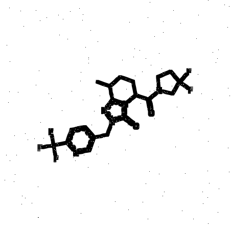 CC1CCC(C(=O)N2CCC(F)(F)C2)n2c1nn(Cc1ccc(C(F)(F)F)nc1)c2=O